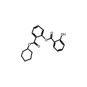 O=C(Oc1ccccc1C(=O)OC1CCCCC1)c1ccccc1O